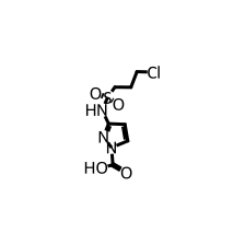 O=C(O)n1ccc(NS(=O)(=O)CCCCl)n1